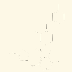 Cc1cc(Nc2cnc(C)c(C[C@@]3(C(=O)O)CCN(Cc4cccc(Cl)c4F)[C@H](C)C3)n2)n[nH]1